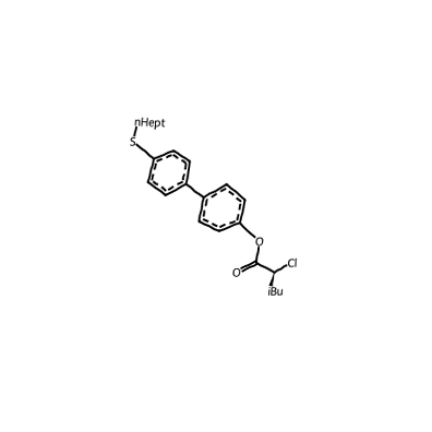 CCCCCCCSc1ccc(-c2ccc(OC(=O)[C@@H](Cl)C(C)CC)cc2)cc1